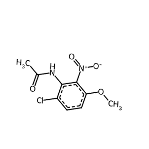 COc1ccc(Cl)c(NC(C)=O)c1[N+](=O)[O-]